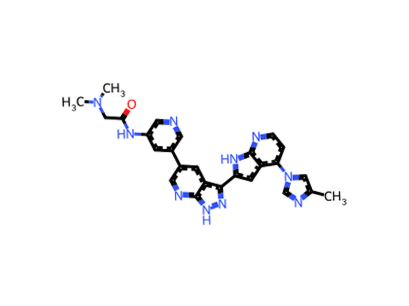 Cc1cn(-c2ccnc3[nH]c(-c4n[nH]c5ncc(-c6cncc(NC(=O)CN(C)C)c6)cc45)cc23)cn1